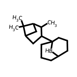 CC1C(C23BC(CCC2)CCC3)CC2CC1C2(C)C